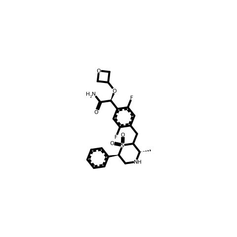 C[C@@H]1NC[C@@H](c2ccccc2)S(=O)(=O)C1Cc1cc(F)c([C@H](OC2COC2)C(N)=O)cc1F